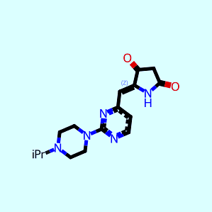 CC(C)N1CCN(c2nccc(/C=C3\NC(=O)CC3=O)n2)CC1